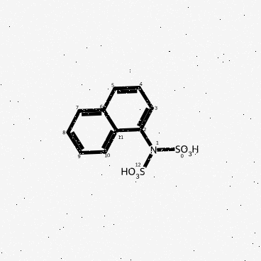 O=S(=O)(O)N(c1cccc2ccccc12)S(=O)(=O)O